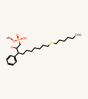 CCCOP(=O)(O)CC([O])C(CCCCCCCSCCCCCC=O)c1ccccc1